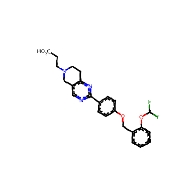 O=C(O)CCN1CCc2nc(-c3ccc(OCc4ccccc4OC(F)F)cc3)ncc2C1